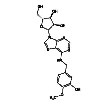 COc1ccc(CNc2ncnc3c2ncn3C2O[C@H](CO)[C@@H](O)[C@H]2O)cc1O